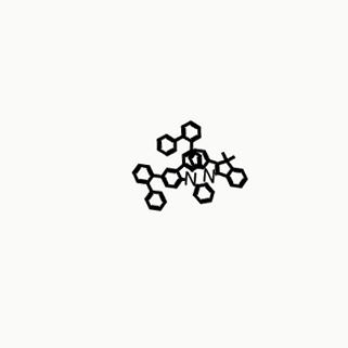 CC1(C)c2ccccc2-c2c1c1ccccc1n2-c1ccccc1-n1c2ccc(-c3ccccc3-c3ccccc3)cc2c2cc(-c3ccccc3-c3ccccc3)ccc21